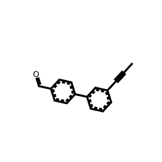 CC#Cc1cccc(-c2ccc(C=O)cc2)c1